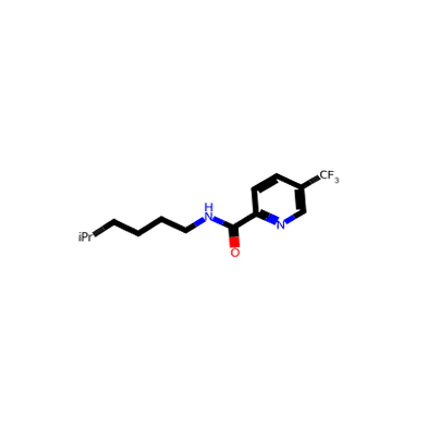 CC(C)CCCCNC(=O)c1ccc(C(F)(F)F)cn1